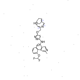 Cc1cc(-c2c(F)cccc2OC(F)F)c(C(=O)Nc2nnc(OCC3=C/CCC/C=C(CO)/C=N\3)s2)cn1